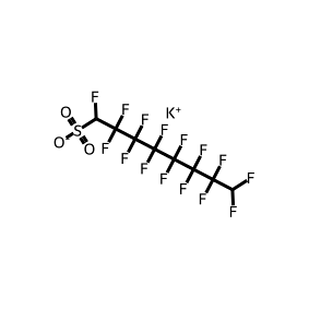 O=S(=O)([O-])C(F)C(F)(F)C(F)(F)C(F)(F)C(F)(F)C(F)(F)C(F)(F)C(F)F.[K+]